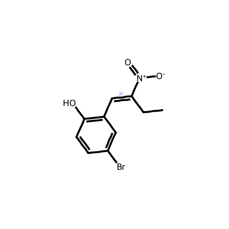 CC/C(=C\c1cc(Br)ccc1O)[N+](=O)[O-]